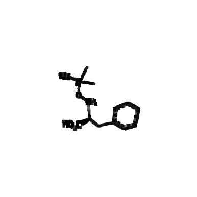 CC(C)(C)[Si](C)(C)ON[C@@H](Cc1ccccc1)C(=O)O